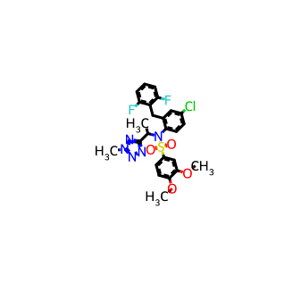 COc1ccc(S(=O)(=O)N(c2ccc(Cl)cc2Cc2c(F)cccc2F)C(C)c2nnn(C)n2)cc1OC